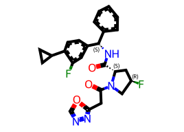 O=C(N[C@@H](c1ccccc1)c1ccc(C2CC2)c(F)c1)[C@@H]1C[C@@H](F)CN1C(=O)Cc1nnco1